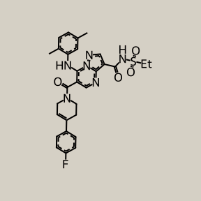 CCS(=O)(=O)NC(=O)c1cnn2c(Nc3cc(C)ccc3C)c(C(=O)N3CC=C(c4ccc(F)cc4)CC3)cnc12